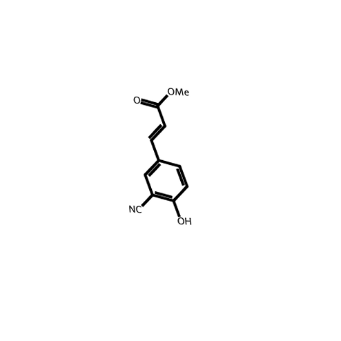 COC(=O)/C=C/c1ccc(O)c(C#N)c1